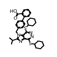 CC(C)c1nc2c(SC3CCCCC3)nnc(SC3CCCCC3)c2n1Cc1ccc(-c2ccccc2C(=O)O)cc1